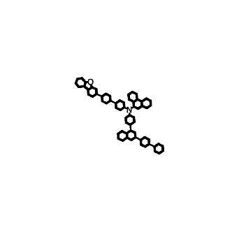 c1ccc(-c2ccc(-c3cc(-c4ccc(N(c5ccc(-c6ccc(-c7ccc8c(c7)oc7ccccc78)cc6)cc5)c5cc6ccccc6c6ccccc56)cc4)c4ccccc4c3)cc2)cc1